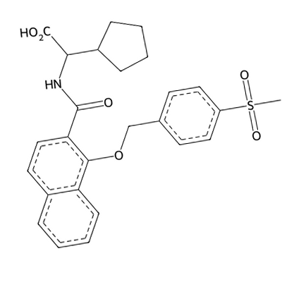 CS(=O)(=O)c1ccc(COc2c(C(=O)NC(C(=O)O)C3CCCC3)ccc3ccccc23)cc1